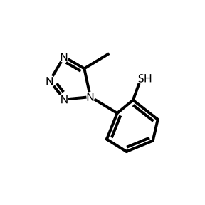 Cc1nnnn1-c1ccccc1S